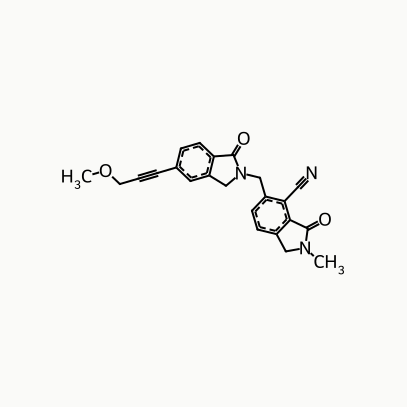 COCC#Cc1ccc2c(c1)CN(Cc1ccc3c(c1C#N)C(=O)N(C)C3)C2=O